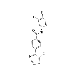 O=C(Nc1ccc(F)c(F)c1)c1ccc(-c2ncccc2Cl)cn1